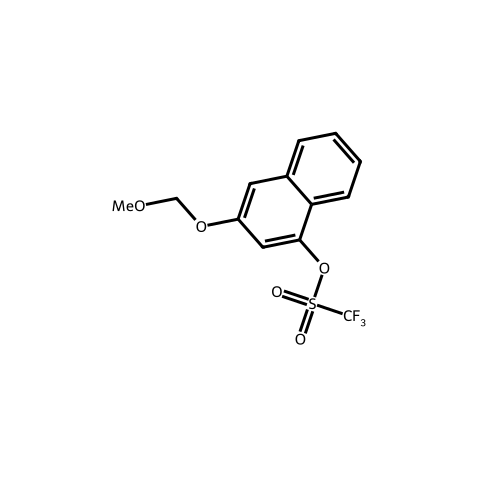 COCOc1cc(OS(=O)(=O)C(F)(F)F)c2ccccc2c1